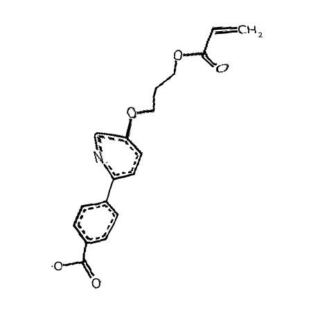 C=CC(=O)OCCCOc1ccc(-c2ccc(C([O])=O)cc2)nc1